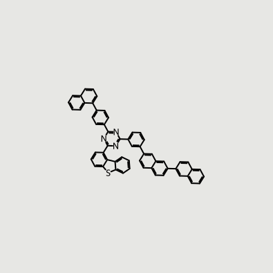 c1cc(-c2ccc3ccc(-c4ccc5ccccc5c4)cc3c2)cc(-c2nc(-c3ccc(-c4cccc5ccccc45)cc3)nc(-c3cccc4sc5ccccc5c34)n2)c1